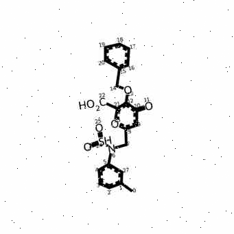 Cc1cccc(N(Cc2cc(=O)c(OCc3ccccc3)c(C(=O)O)o2)[SH](=O)=O)c1